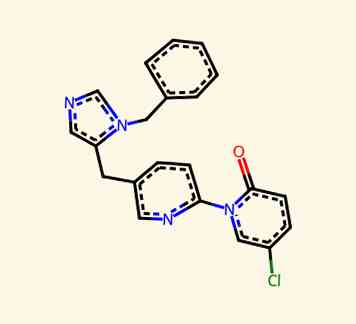 O=c1ccc(Cl)cn1-c1ccc(Cc2cncn2Cc2ccccc2)cn1